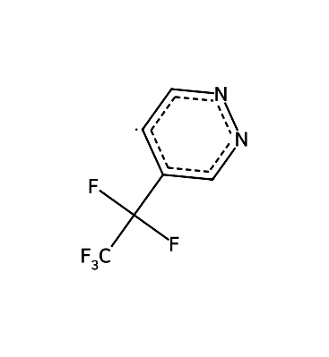 FC(F)(F)C(F)(F)c1[c]cnnc1